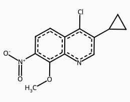 COc1c([N+](=O)[O-])ccc2c(Cl)c(C3CC3)cnc12